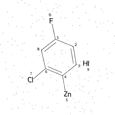 Fc1cc[c]([Zn])c(Cl)c1.I